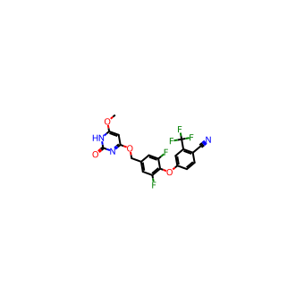 COc1cc(OCc2cc(F)c(Oc3ccc(C#N)c(C(F)(F)F)c3)c(F)c2)nc(=O)[nH]1